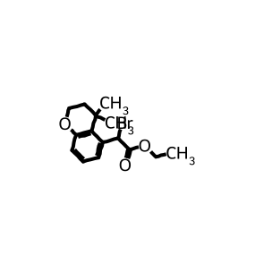 CCOC(=O)C(Br)c1cccc2c1C(C)(C)CCO2